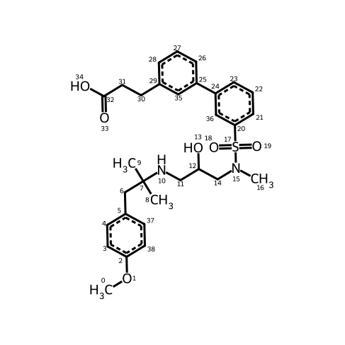 COc1ccc(CC(C)(C)NCC(O)CN(C)S(=O)(=O)c2cccc(-c3cccc(CCC(=O)O)c3)c2)cc1